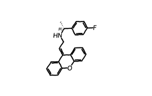 C[C@@H](NCC=C1c2ccccc2Oc2ccccc21)c1ccc(F)cc1